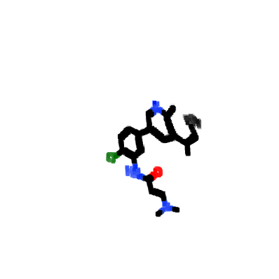 CCC/C=C(/C)c1cc(-c2ccc(Cl)c(NC(=O)/C=C/N(C)C)c2)cnc1C